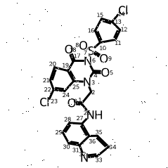 O=C(Cn1c(=O)n(S(=O)(=O)c2ccc(Cl)cc2)c(=O)c2ccc(Cl)cc21)Nc1cccc2ncccc12